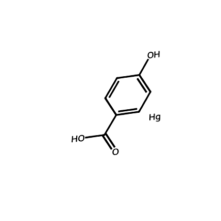 O=C(O)c1ccc(O)cc1.[Hg]